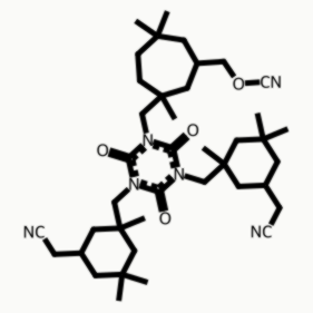 CC1(C)CCC(C)(Cn2c(=O)n(CC3(C)CC(CC#N)CC(C)(C)C3)c(=O)n(CC3(C)CC(CC#N)CC(C)(C)C3)c2=O)CC(COC#N)C1